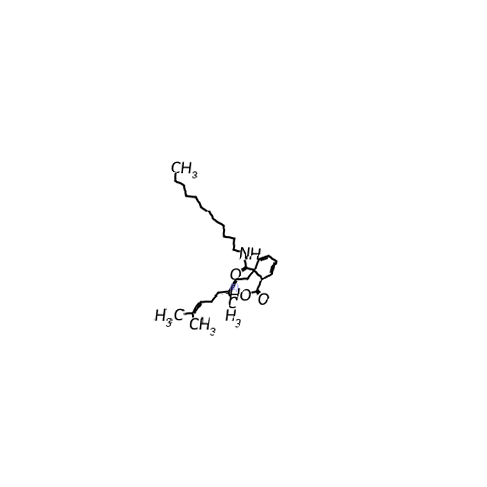 CCCCCCCCCCCCNC(=O)C1(C/C=C(\C)CCC=C(C)C)C=CC=CC1C(=O)O